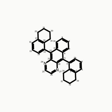 c1cc2c(c(-c3c4ccccc4c(-c4cccc5c4CCCC5)c4nccnc34)c1)CCCC2